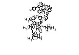 COc1ccccc1-c1nccc(COc2ccccc2CC(C)Oc2ncnc3sc(-c4ccc(F)cc4)c(-c4ccc(OCCN5CC[N+](C)(Cc6ccc(NC(=O)C(CCCNC(N)=O)NC=O)cc6CN(C)C(=O)CCCC(=O)OC(C)(C)C)CC5)c(Cl)c4C)c23)n1